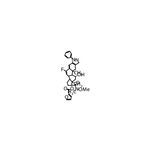 CON(C)C(=O)[C@@]1(OC(=O)c2ccco2)CCC2C3C=C(F)C4=Cc5c(cnn5-c5ccccc5)CC4(C)C3[C@@H](O)CC21C